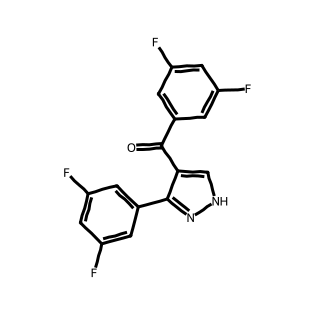 O=C(c1cc(F)cc(F)c1)c1c[nH]nc1-c1cc(F)cc(F)c1